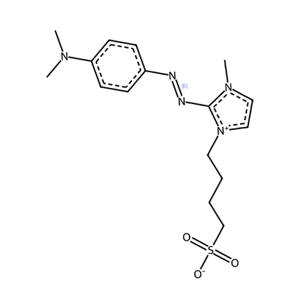 CN(C)c1ccc(/N=N/c2n(C)cc[n+]2CCCCS(=O)(=O)[O-])cc1